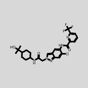 CC(C)(O)C1CCC(NC(=O)Cn2cc3cc(NC(=O)c4cccc(C(F)(F)F)n4)c(Cl)cc3n2)CC1